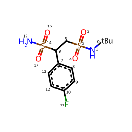 CC(C)(C)NS(=O)(=O)CC(c1ccc(F)cc1)S(N)(=O)=O